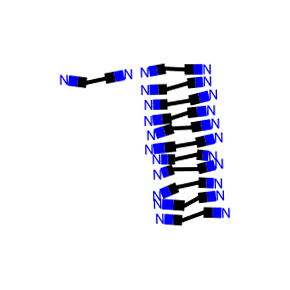 N#CC#N.N#CC#N.N#CC#N.N#CC#N.N#CC#N.N#CC#N.N#CC#N.N#CC#N.N#CC#N.N#CC#N.N#CC#N.N#CC#N